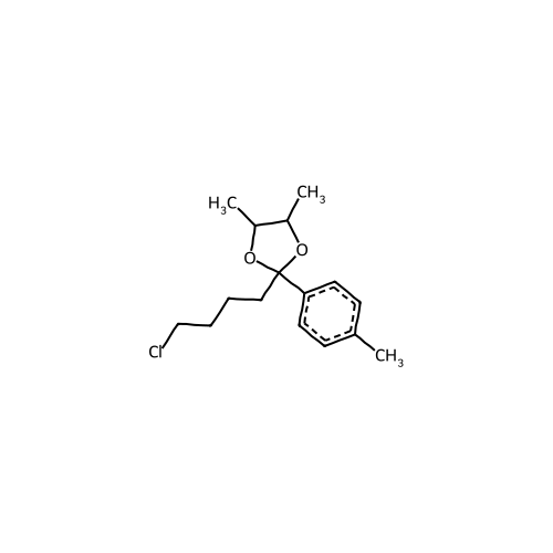 Cc1ccc(C2(CCCCCl)OC(C)C(C)O2)cc1